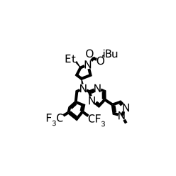 CC[C@@H]1C[C@H](N(Cc2cc(C(F)(F)F)cc(C(F)(F)F)c2)c2ncc(-c3cnn(C)c3)cn2)CN1C(=O)O[C@@H](C)CC